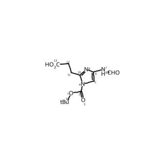 CC(C)(C)OC(=O)n1cc(NC=O)nc1CCC(=O)O